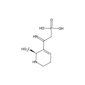 N=C(CP(=O)(O)O)C1=CCCN[C@H]1C(=O)O